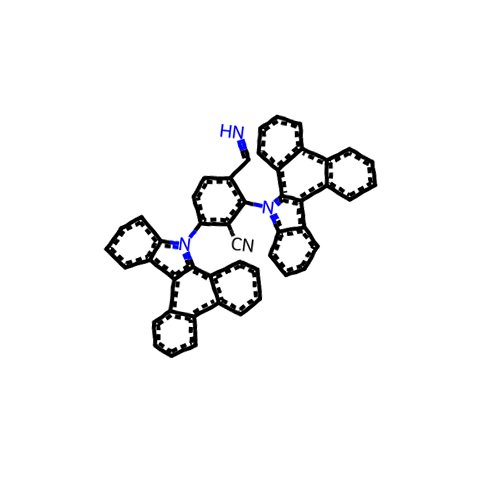 N#Cc1c(-n2c3ccccc3c3c4ccccc4c4ccccc4c32)ccc(C=N)c1-n1c2ccccc2c2c3ccccc3c3ccccc3c21